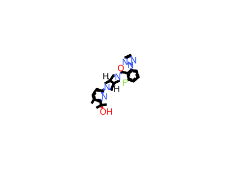 Cc1ccc(N2C[C@H]3CN(C(=O)c4c(F)cccc4-n4nccn4)C[C@H]3C2)nc1C(C)(C)O